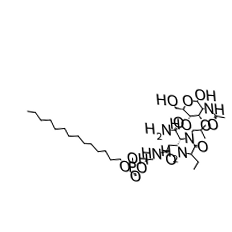 CCCCCCCCCCCCCCOP(=O)(O)OCCNC(=O)CC[C@H](C(N)=O)N(CC(C)O[C@H]1[C@H](O)[C@@H](CO)O[C@H](O)[C@@H]1NC(C)=O)C(=O)C(N)CC